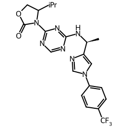 CC(C)C1COC(=O)N1c1ncnc(N[C@@H](C)c2cn(-c3ccc(C(F)(F)F)cc3)cn2)n1